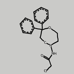 O=C(CCl)NN1CCOC(c2ccccc2)(c2ccccc2)CC1